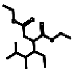 CCOC(=O)CC(C(=O)OCC)C(CC)C(C)C(C)C